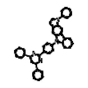 c1ccc(-c2cc(-c3ccccc3)nc(-c3ccc(-n4c5ccccc5c5cc6c(ccn6-c6ccccc6)cc54)cc3)n2)cc1